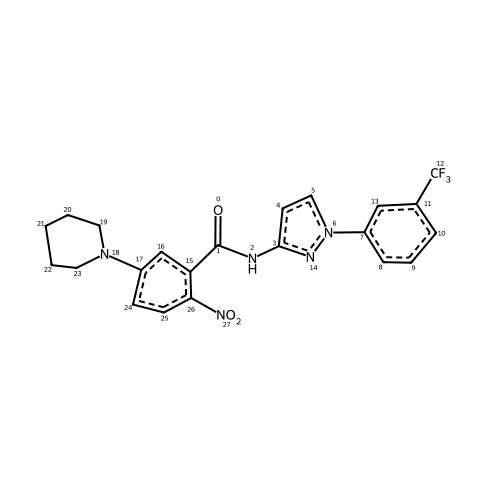 O=C(Nc1ccn(-c2cccc(C(F)(F)F)c2)n1)c1cc(N2CCCCC2)ccc1[N+](=O)[O-]